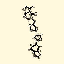 CN1C=NC2N=CN(Cc3nc([C@@H]4CO[C@@H](c5ccc6ncsc6c5)C4)no3)C(=O)C21